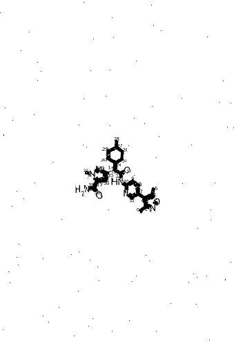 Cc1noc(C)c1-c1ccc(NC(=O)[C@H](c2cc(C(N)=O)n(C)n2)C2CCC(C)CC2)nc1